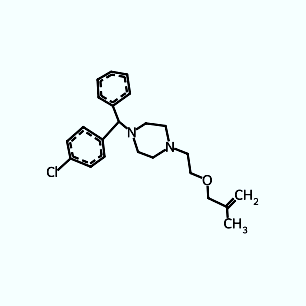 C=C(C)COCCN1CCN(C(c2ccccc2)c2ccc(Cl)cc2)CC1